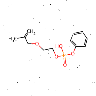 C=C(C)COCCOP(=O)(O)Oc1ccccc1